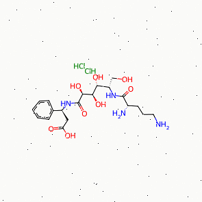 Cl.Cl.NCCC[C@H](N)C(=O)N[C@@H](CO)[C@@H](O)[C@@H](O)[C@H](O)C(=O)N[C@@H](CC(=O)O)c1ccccc1